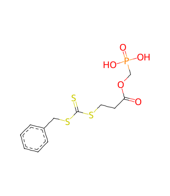 O=C(CCSC(=S)SCc1ccccc1)OCP(=O)(O)O